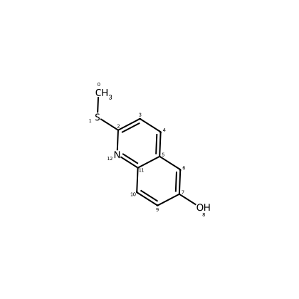 CSc1ccc2cc(O)ccc2n1